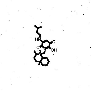 CC(C)CCNC1=CC(=O)C(O)=C(CC2(C)C(C)CCC3(C)CCCCC32)C1=O